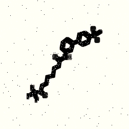 CS(=O)(=O)c1ccc(-c2cccc(NC(=O)CCCCCCC(=O)C(F)(F)F)c2)cc1